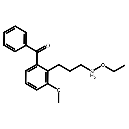 CCO[SiH2]CCCc1c(OC)cccc1C(=O)c1ccccc1